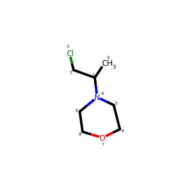 CC(CCl)N1CCOCC1